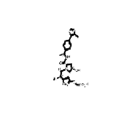 Cc1ncsc1-c1ccc([C@H](C)NC(=O)[C@@H]2C[C@@H](O)CN2C(=O)[C@@H](c2cc(OCC(=O)O)no2)C(C)C)cc1